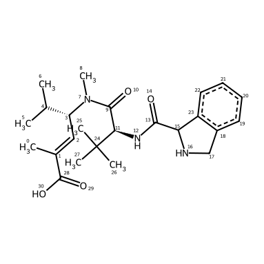 C/C(=C\[C@H](C(C)C)N(C)C(=O)[C@@H](NC(=O)C1NCc2ccccc21)C(C)(C)C)C(=O)O